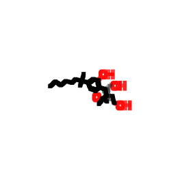 CCCCCCC(C)(C)c1cc(O)c2c(c1)OC(C)(C)[C@H](CCO)[C@H]2CO